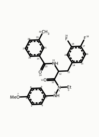 CCN(Nc1ccc(OC)cc1)C(=O)C(Cc1ccc(F)c(F)c1)NC(=O)c1cccc(C)c1